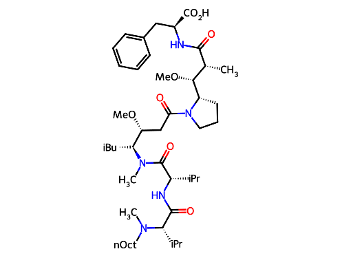 CCCCCCCCN(C)[C@H](C(=O)N[C@H](C(=O)N(C)[C@@H]([C@@H](C)CC)[C@@H](CC(=O)N1CCC[C@H]1[C@H](OC)[C@@H](C)C(=O)N[C@@H](Cc1ccccc1)C(=O)O)OC)C(C)C)C(C)C